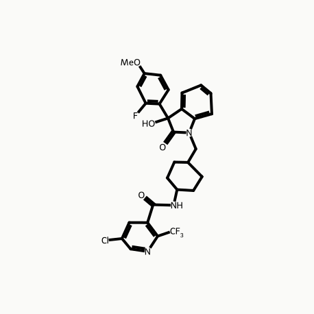 COc1ccc(C2(O)C(=O)N(CC3CCC(NC(=O)c4cc(Cl)cnc4C(F)(F)F)CC3)c3ccccc32)c(F)c1